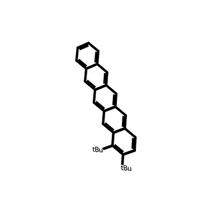 CC(C)(C)c1ccc2cc3cc4cc5ccccc5cc4cc3cc2c1C(C)(C)C